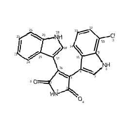 O=C1NC(=O)C(c2c[nH]c3c(Cl)cccc23)=C1c1c[nH]c2ccccc12